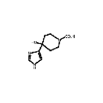 O=C(O)N1CCC(O)(c2c[nH]cn2)CC1